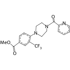 COC(=O)c1ccc(N2CCN(C(=O)c3ccccn3)CC2)c(C(F)(F)F)c1